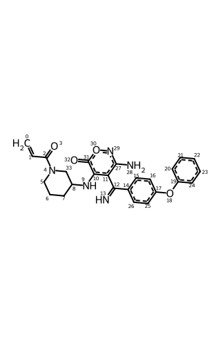 C=CC(=O)N1CCCC(Nc2c(C(=N)c3ccc(Oc4ccccc4)cc3)c(N)noc2=O)C1